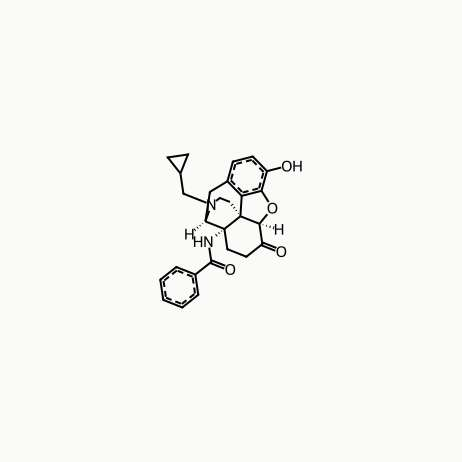 O=C(N[C@@]12CCC(=O)[C@@H]3Oc4c(O)ccc5c4[C@@]31CCN(CC1CC1)[C@@H]2C5)c1ccccc1